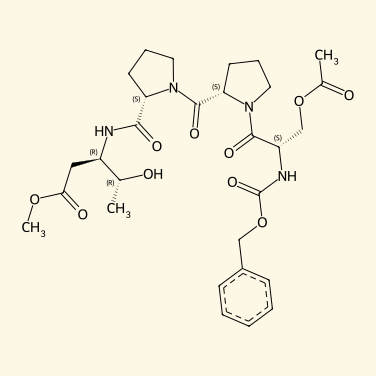 COC(=O)C[C@@H](NC(=O)[C@@H]1CCCN1C(=O)[C@@H]1CCCN1C(=O)[C@H](COC(C)=O)NC(=O)OCc1ccccc1)[C@@H](C)O